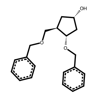 O[C@H]1C[C@H](COCc2ccccc2)[C@@H](OCc2ccccc2)C1